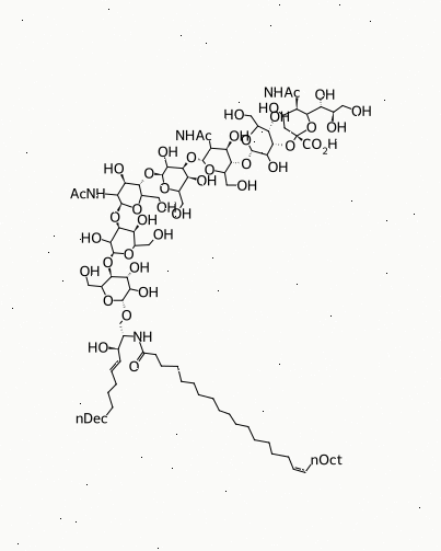 CCCCCCCC/C=C\CCCCCCCCCCCCCCCC(=O)N[C@@H](CO[C@@H]1OC(CO)[C@@H](O[C@@H]2OC(CO)[C@H](O)[C@H](O[C@@H]3OC(CO)[C@@H](O[C@@H]4OC(CO)[C@H](O)[C@H](O[C@H]5OC(CO)[C@@H](O[C@@H]6OC(CO)[C@H](O)[C@H](O[C@]7(C(=O)O)CC(O)[C@@H](NC(C)=O)C([C@H](O)[C@H](O)CO)O7)C6O)[C@H](O)C5NC(C)=O)C4O)[C@H](O)C3NC(C)=O)C2O)[C@H](O)C1O)[C@H](O)/C=C/CCCCCCCCCCCCC